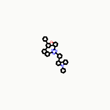 c1ccc(-c2cc(-c3ccccc3)c3oc4cccc(-c5nc(-c6ccccc6)nc(-c6cccc(-c7cccc8c7c7ccccc7n8-c7ccccc7)c6)n5)c4c3c2)cc1